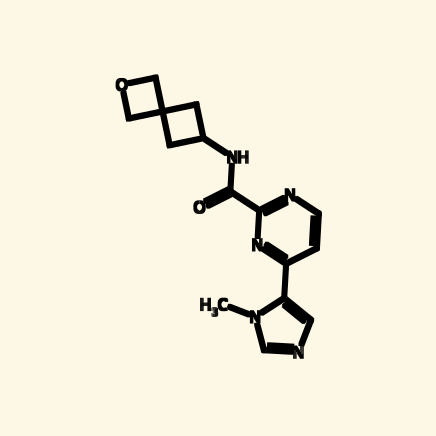 Cn1cncc1-c1ccnc(C(=O)NC2CC3(COC3)C2)n1